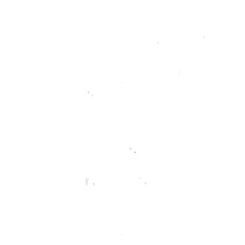 CCC(C)(C)C(=O)C(=O)N1CCCC1c1nnc(S)[nH]1